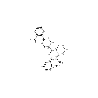 COc1ccccc1N1CCN(CC[C@@H](c2ccccc2F)[C@H](N)C2CCCCC2)CC1